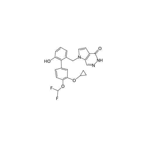 O=c1[nH]ncc2c1ccn2Cc1cccc(O)c1-c1ccc(OC(F)F)c(OC2CC2)c1